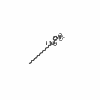 CCCCCCCCCCCCCCCCNC(=O)c1[c]ccc([N+](=O)[O-])c1